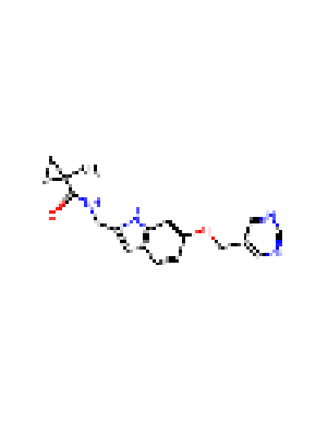 CC1(C(=O)NCc2cc3ccc(OCc4cncnc4)cc3[nH]2)CC1